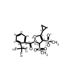 CS(=O)(=O)C1=C(C2CC2)ON(C(=O)c2ccccc2C(F)(F)F)C1S(C)(=O)=O